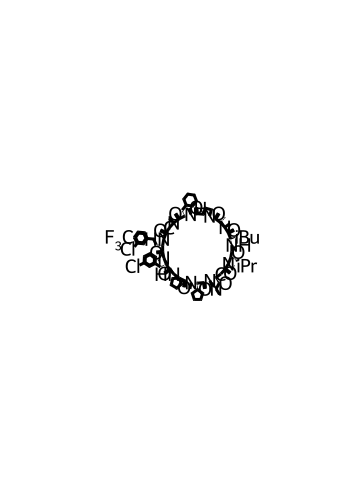 CC[C@H](C)[C@@H]1NC(=O)[C@H](CC(C)C)N(C)C(=O)C[C@@H](C(=O)N(C)C)N(C)C(=O)[C@H](C2CCCC2)N(C)C(=O)C2(CCCC2)NC(=O)[C@H](Cc2cccc(Cl)c2)N(C)C(=O)[C@H](CCc2ccc(C(F)(F)F)c(Cl)c2)NC(=O)CN(C)C(=O)[C@H](CC2CCCCC2)N(C)C(=O)[C@@H]2CCN2C(=O)[C@H](C)N(C)C1=O